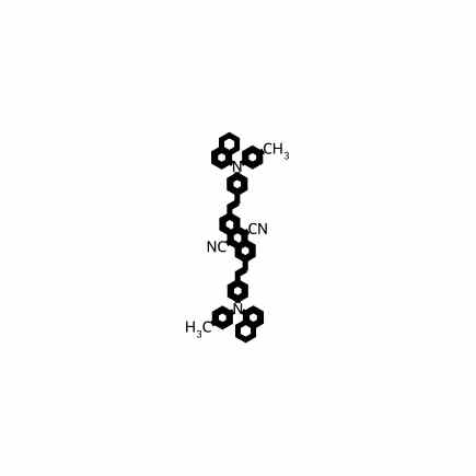 Cc1ccc(N(c2ccc(C=Cc3ccc4c(C#N)c5cc(C=Cc6ccc(N(c7ccc(C)cc7)c7cccc8c7CCCC8)cc6)ccc5c(C#N)c4c3)cc2)c2cccc3c2CCCC3)cc1